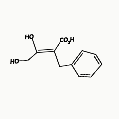 O=C(O)/C(Cc1ccccc1)=C(\O)CO